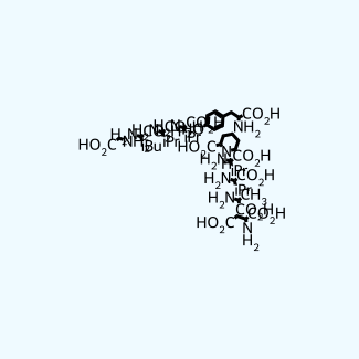 CC(C)C(N)C(=O)O.CC(C)C(N)C(=O)O.CC(C)C(N)C(=O)O.CC(C)C(N)C(=O)O.CC(N)C(=O)O.CCC(C)C(N)C(=O)O.NC(CC(=O)O)C(=O)O.NC(Cc1ccc(O)cc1)C(=O)O.NCC(=O)O.O=C(O)C1CCCCN1